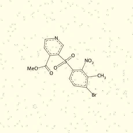 COC(=O)c1ccncc1S(=O)(=O)c1ccc(Br)c(C)c1[N+](=O)[O-]